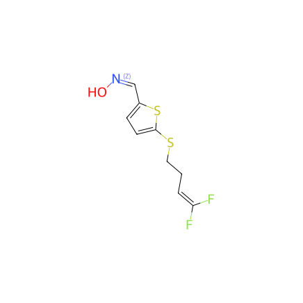 O/N=C\c1ccc(SCCC=C(F)F)s1